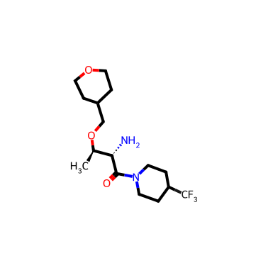 C[C@@H](OCC1CCOCC1)[C@H](N)C(=O)N1CCC(C(F)(F)F)CC1